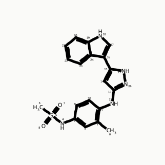 Cc1cc(NS(C)(=O)=O)ccc1Nc1cc(-c2c[nH]c3ccccc23)[nH]n1